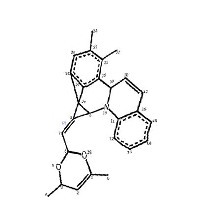 CC1=CC(C)OC(/C=C2\C3N4c5ccccc5C=CC4c4c(C)c(C)cc5c4C253)O1